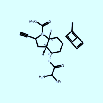 C#CC1C[C@H]2[C@@H](OC(=O)C(N)CCC)CCC[C@H]2N1C(=O)OC.Cc1cc2ccc1-2